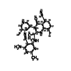 Cc1nc(N)c(C#N)c(N[C@@H](C)c2nc3c(F)ccc(C#N)c3c(=O)n2-c2cncc(F)c2)n1